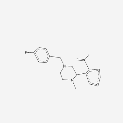 C=C(C)c1ccccc1C1CN(Cc2ccc(F)cc2)CCN1C